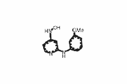 COc1cccc(Nc2cc(NO)ccn2)c1